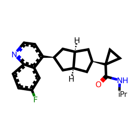 CC(C)NC(=O)C1([C@H]2C[C@H]3C[C@@H](c4ccnc5ccc(F)cc45)C[C@H]3C2)CC1